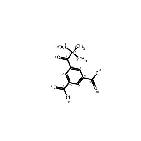 CCCCCCCC[N+](C)(C)C(=O)c1cc(C(=O)Cl)cc(C(=O)Cl)c1